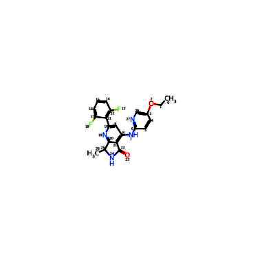 CCOc1ccc(Nc2cc(-c3c(F)cccc3F)nc3c2C(=O)NC3C)nc1